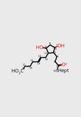 CCCCCCCC(=O)CCC1C(O)CC(O)C1CC=CCCCC(=O)O